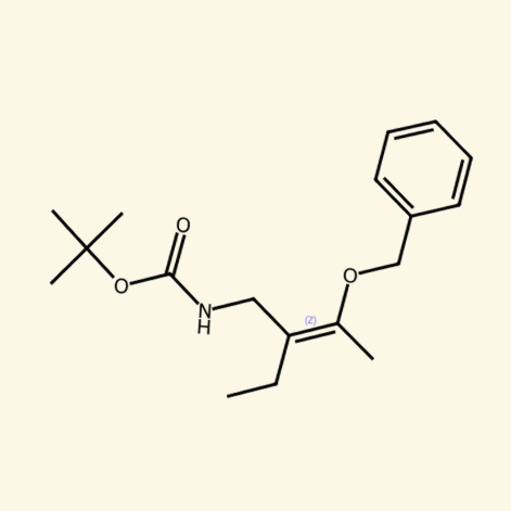 CC/C(CNC(=O)OC(C)(C)C)=C(\C)OCc1ccccc1